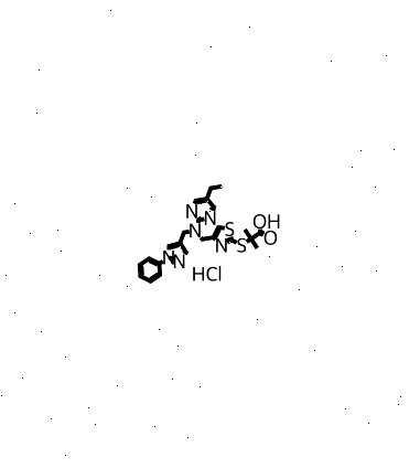 CCc1cnc(N(Cc2cnn(-c3ccccc3)c2)Cc2csc(SC(C)(C)C(=O)O)n2)nc1.Cl